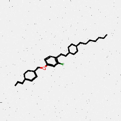 CCCCCCCC1CCC(CCc2ccc(OCC3CCC(CCC)CC3)cc2F)CC1